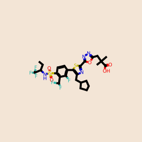 CCC(NS(=O)(=O)c1ccc(-c2sc(-c3nnc(CC(C)(C)C(=O)O)o3)nc2CC2CCCC2)c(F)c1C(F)F)C(F)(F)F